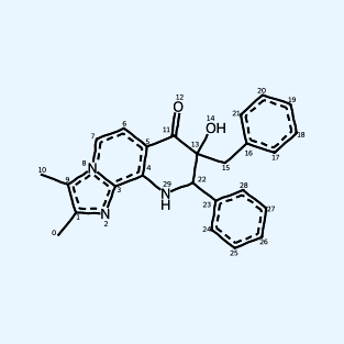 Cc1nc2c3c(ccn2c1C)C(=O)C(O)(Cc1ccccc1)C(c1ccccc1)N3